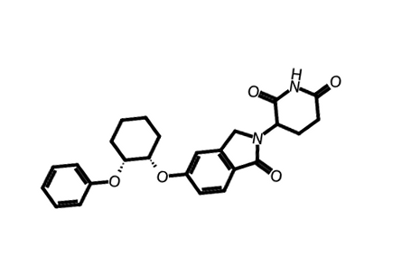 O=C1CCC(N2Cc3cc(O[C@H]4CCCC[C@H]4Oc4ccccc4)ccc3C2=O)C(=O)N1